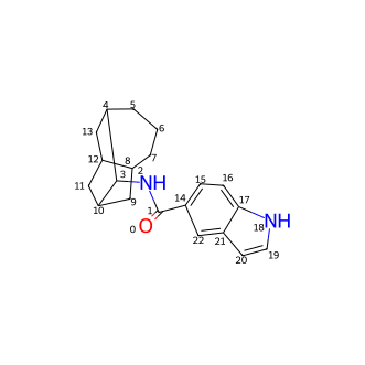 O=C(NC1C2CCCC3CC1CC3C2)c1ccc2[nH]ccc2c1